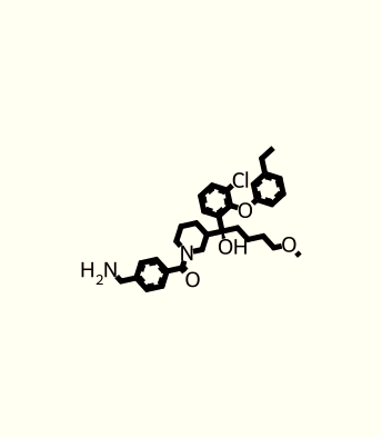 CCc1cccc(Oc2c(Cl)cccc2[C@](O)(CCCCOC)C2CCCN(C(=O)c3ccc(CN)cc3)C2)c1